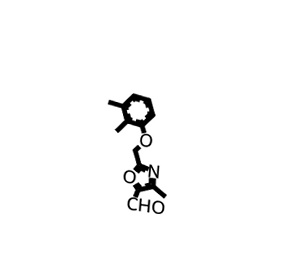 Cc1cccc(OCc2nc(C)c(C=O)o2)c1C